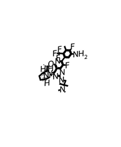 Cc1c(F)c(N)cc(-c2nc3c4c(nc(N5CC(C)(N(C)C)C5)nc4c2F)N2C[C@H]4CC[C@H](N4)[C@H]2[C@H](C)O3)c1C(F)(F)F